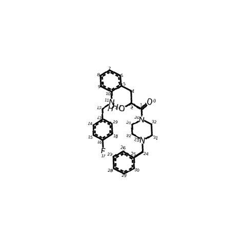 O=C(C(O)Cc1ccccc1NCc1ccc(F)cc1)N1CCN(Cc2ccccc2)CC1